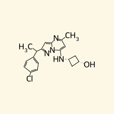 Cc1cc(N[C@H]2C[C@@H](O)C2)n2nc(C(C)c3ccc(Cl)cc3)cc2n1